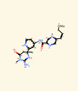 COC/C=C\c1cnc(C(=O)Nc2ccnc(C3(C)CC(=O)N(C)C(N)=N3)c2)cn1